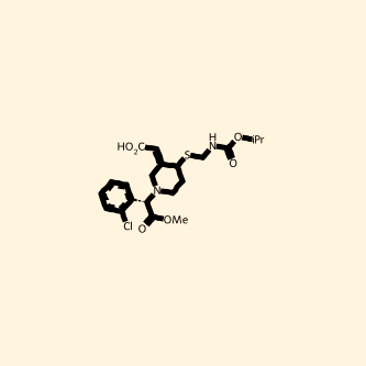 COC(=O)[C@H](c1ccccc1Cl)N1CCC(SCNC(=O)OC(C)C)/C(=C/C(=O)O)C1